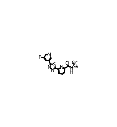 C[S+]([O-])NC(=O)c1cccc(-c2nnc(-c3cncc(F)c3)s2)n1